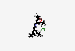 CC(C)(C)C1=CC(=C/C=C/c2cc(C(C)(C)C)[o+]c(C(C)(C)C)c2)C=C(C(C)(C)C)[Se]1.[Cl-]